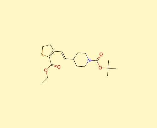 CCOC(=O)C1=C(/C=C/C2CCN(C(=O)OC(C)(C)C)CC2)CCS1